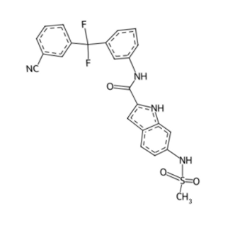 CS(=O)(=O)Nc1ccc2cc(C(=O)Nc3cccc(C(F)(F)c4cccc(C#N)c4)c3)[nH]c2c1